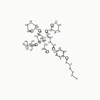 CCCCCCOc1ccc(OCC/C=C(/OC2CCCCO2)[C@@H]2[C@H](CC=O)[C@H](O[Si](C)(C)C(C)(C)C)C[C@@H]2OC2CCCCO2)cc1